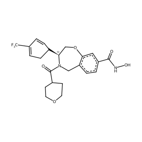 O=C(NO)c1ccc2c(c1)OC[C@H](C1C=CC(C(F)(F)F)=CC1)N(C(=O)C1CCOCC1)C2